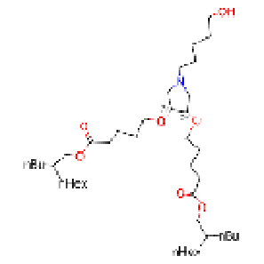 CCCCCCC(CCCC)COC(=O)CCCCO[C@H]1CN(CCCCCO)C[C@H]1OCCCCC(=O)OCC(CCCC)CCCCCC